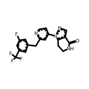 O=C1NCCc2c1cnn2-c1ccnc(Cc2cc(F)cc(C(F)(F)F)c2)c1